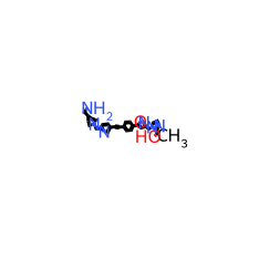 C[C@H](O)c1nccn1Cc1cc(-c2ccc(C#Cc3ccc(CN4CC5C(CN)C5C4)nc3)cc2)on1